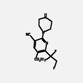 CCOC(=O)c1cc(C#N)c(N2CCNCC2)nc1C(F)(F)CF